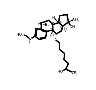 C=C[C@@]12CCc3cc(NS(=O)(=O)O)ccc3[C@H]1[C@@H](CCCCCCC(O)C(F)(F)F)C[C@@]1(C)[C@H]2CC[C@]1(C)O